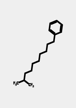 FC(F)(F)C(CCCCCCCCc1ccccc1)C(F)(F)F